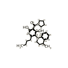 CCCCc1nc(O)c(C(=O)N2CCCC2)c(O)c1N1CCC(C)c2ccccc21